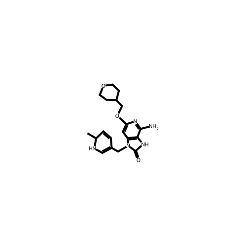 CC1C=CC(Cn2c(=O)[nH]c3c(N)nc(OCC4CCOCC4)cc32)=CN1